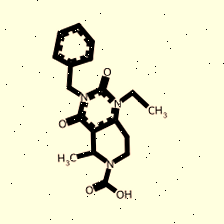 CCn1c2c(c(=O)n(Cc3ccccc3)c1=O)C(C)N(C(=O)O)CC2